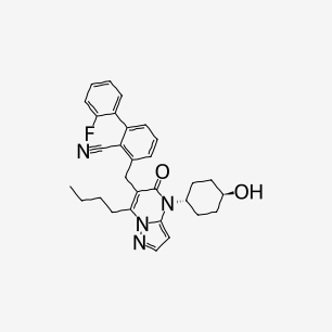 CCCCc1c(Cc2cccc(-c3ccccc3F)c2C#N)c(=O)n([C@H]2CC[C@H](O)CC2)c2ccnn12